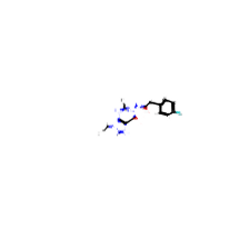 CCc1nc2c(ncn2CC(C)(C)C)c(=O)n1NC(=O)Cc1ccc(F)cc1